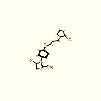 CC(C)C1COC(C=O)N1c1ccc(OCCCN2CCCC2C)cc1